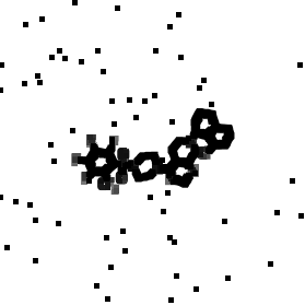 O=S(=O)(c1c(F)c(F)c(F)c(F)c1C(F)(F)F)N1CCN(c2ncnc3c2CCN(c2cccc4cccc(Cl)c24)C3)CC1